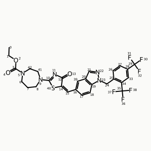 CCOC(=O)N1CCCN(C2=NC(=O)C(=Cc3ccc4c(cnn4Cc4ccc(C(F)(F)F)cc4C(F)(F)F)c3)S2)CC1